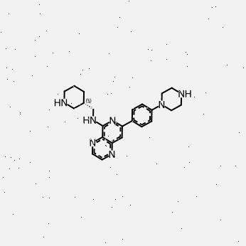 c1cnc2c(NC[C@H]3CCCNC3)nc(-c3ccc(N4CCNCC4)cc3)cc2n1